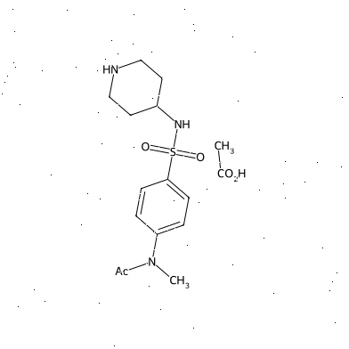 CC(=O)N(C)c1ccc(S(=O)(=O)NC2CCNCC2)cc1.CC(=O)O